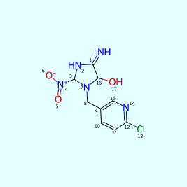 N=C1NC([N+](=O)[O-])N(Cc2ccc(Cl)nc2)C1O